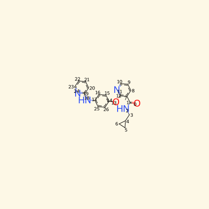 O=C(NCC1CC1)c1cccnc1Oc1ccc(Nc2ccccn2)cc1